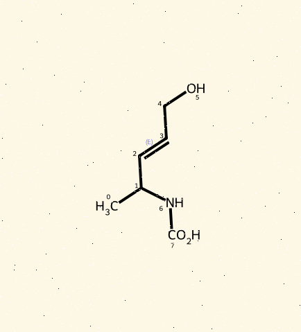 CC(/C=C/CO)NC(=O)O